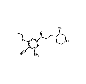 CCOc1nc(C(=O)NC[C@H]2CCNC[C@@H]2O)cc(N)c1C#N